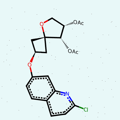 CC(=O)O[C@H]1CO[C@]2(C[C@H](Oc3ccc4ccc(Cl)nc4c3)C2)[C@H]1OC(C)=O